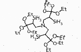 CCOC(OCC)(OCC)C([SiH3])CN(CC([SiH3])C(OCC)(OCC)OCC)CC([SiH3])C(OCC)(OCC)OCC